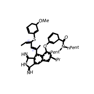 C/C=C(\C=C(/C)c1c2c(cc3cc(C(C)C)cc(OC4=CC(C(=O)N(CCCCC)CCCCC)CC=C4)c13)C(=N)NC2=N)SC1=CC(OC)CC=C1